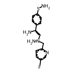 NSc1ccc(/C(N)=C/N(N)Cc2ccc(F)cn2)cc1